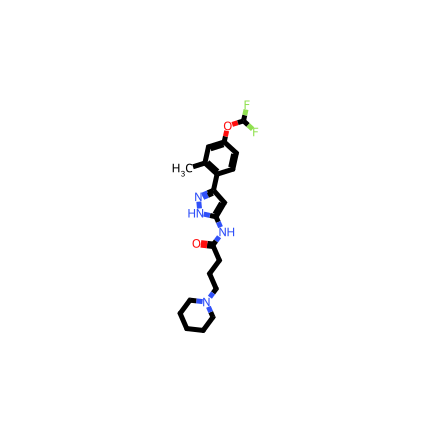 Cc1cc(OC(F)F)ccc1-c1cc(NC(=O)CCCN2CCCCC2)[nH]n1